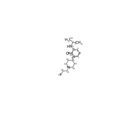 CC(C)Nc1cccn(C2CCN(CCF)CC2)c1=O